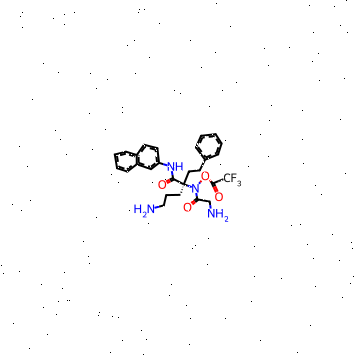 NCCC[C@@](CCc1ccccc1)(C(=O)Nc1ccc2ccccc2c1)N(OC(=O)C(F)(F)F)C(=O)CN